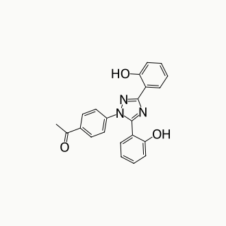 CC(=O)c1ccc(-n2nc(-c3ccccc3O)nc2-c2ccccc2O)cc1